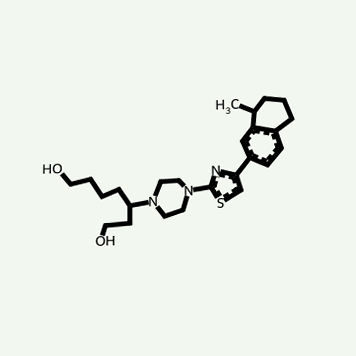 CC1CCCc2ccc(-c3csc(N4CCN(C(CCO)CCCCO)CC4)n3)cc21